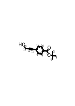 CC(C)(C)OC(=O)c1ccc(C#CCO)cc1